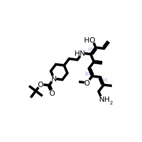 C=C/C(O)=C(/NCCC1CCN(C(=O)OC(C)(C)C)CC1)C(=C)/C=C(\C=C(\C)CN)OC